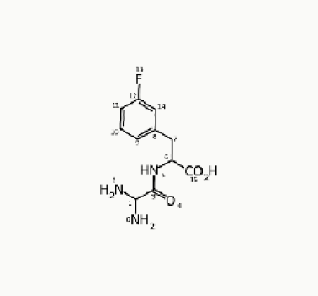 NC(N)C(=O)NC(Cc1cccc(F)c1)C(=O)O